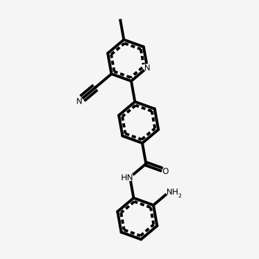 Cc1cnc(-c2ccc(C(=O)Nc3ccccc3N)cc2)c(C#N)c1